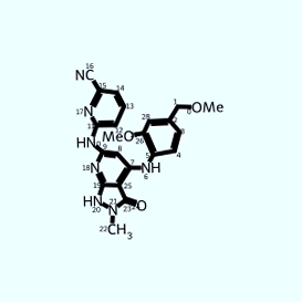 COCc1ccc(Nc2cc(Nc3cccc(C#N)n3)nc3[nH]n(C)c(=O)c23)c(OC)c1